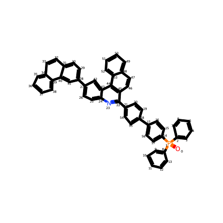 O=P(c1ccccc1)(c1ccccc1)c1ccc(-c2ccc(-c3nc4ccc(-c5ccc6ccc7ccccc7c6c5)cc4c4c3ccc3ccccc34)cc2)cc1